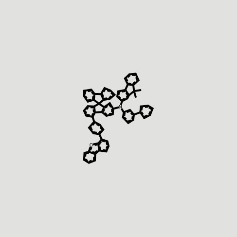 CC1(C)c2ccccc2-c2ccc(N(c3cccc(-c4ccccc4)c3)c3ccc4c(c3)C3(c5ccccc5-c5ccccc53)c3cccc(-c5ccc(-c6cccc7c6oc6ccccc67)cc5)c3-4)cc21